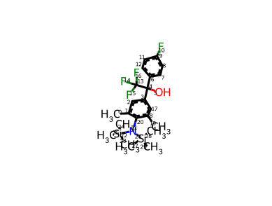 Cc1cc(C(O)(c2ccc(F)cc2)C(F)(F)F)cc(C)c1N([Si](C)(C)C)[Si](C)(C)C